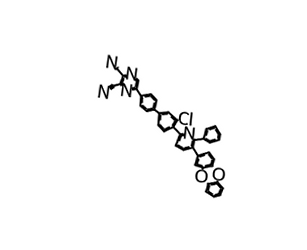 N#Cc1ncc(-c2ccc(-c3ccc(-c4ccc(-c5ccc6c(c5)Oc5ccccc5O6)c(-c5ccccc5)n4)c(Cl)c3)cc2)nc1C#N